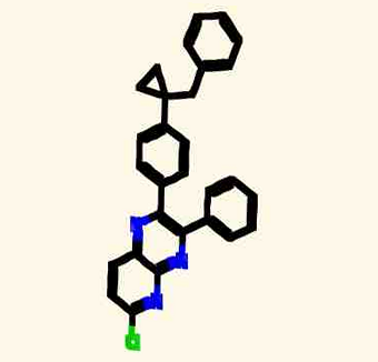 Clc1ccc2nc(-c3ccc(C4(Cc5ccccc5)CC4)cc3)c(-c3ccccc3)nc2n1